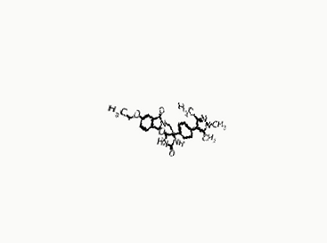 CCOc1ccc2c(c1)C(=O)N(C[C@@]1(c3ccc(-c4c(C)nn(C)c4C)cc3)NC(=O)NC1=O)C2